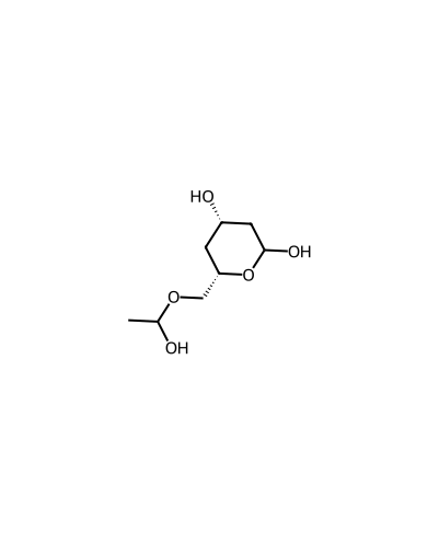 CC(O)OC[C@@H]1C[C@H](O)CC(O)O1